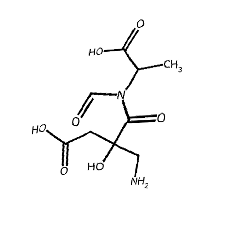 CC(C(=O)O)N(C=O)C(=O)C(O)(CN)CC(=O)O